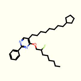 CCCCCCC(F)COc1nc(-c2ccccc2)ncc1CCCCCCCCC1CCCC1